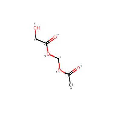 CCC(=O)OCOC(=O)CO